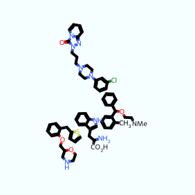 CNCCOC(c1ccccc1)c1ccccc1C.NC(Cc1c[nH]c2ccccc12)C(=O)O.O=c1n(CCCN2CCN(c3cccc(Cl)c3)CC2)nc2ccccn12.c1csc(Cc2ccccc2OCC2CNCCO2)c1